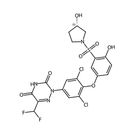 O=c1[nH]c(=O)n(-c2cc(Cl)c(Oc3ccc(O)c(S(=O)(=O)N4CC[C@H](O)C4)c3)c(Cl)c2)nc1C(F)F